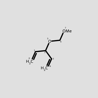 C=CC(C=C)OCOC